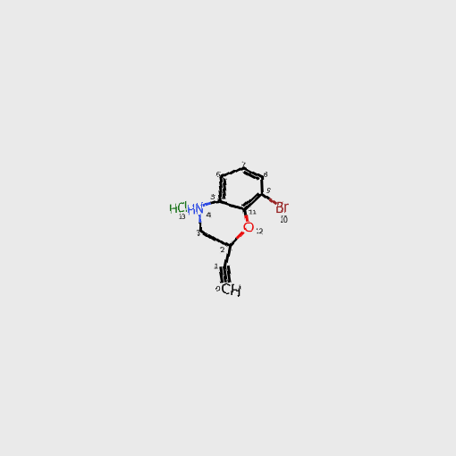 C#CC1CNc2cccc(Br)c2O1.Cl